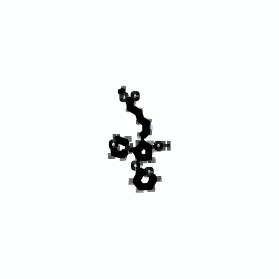 COC(=O)CCC/C=C\C[C@H]1[C@H](N2CCOCC2)[C@@H](OC2CCCCO2)C[C@H]1O